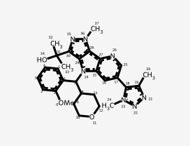 COc1ccccc1C(C1CCOCC1)n1c2cc(-c3c(C)nnn3C)cnc2c2c1c(C(C)(C)O)nn2C